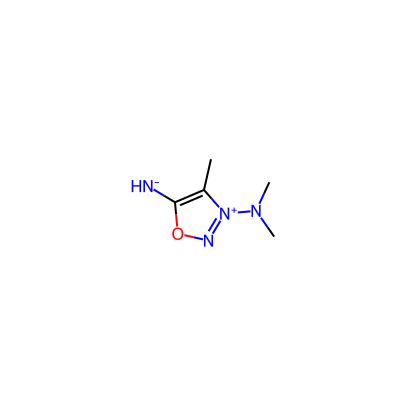 Cc1c([NH-])on[n+]1N(C)C